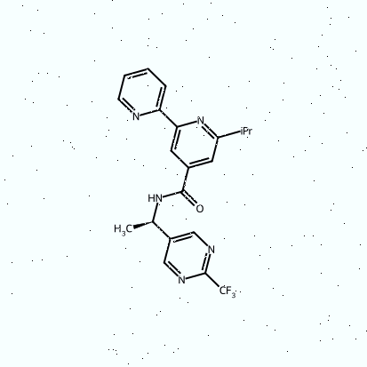 CC(C)c1cc(C(=O)N[C@H](C)c2cnc(C(F)(F)F)nc2)cc(-c2ccccn2)n1